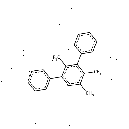 Cc1[c]c(-c2ccccc2)c(C(F)(F)F)c(-c2ccccc2)c1C(F)(F)F